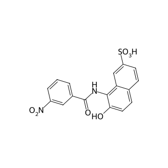 O=C(Nc1c(O)ccc2ccc(S(=O)(=O)O)cc12)c1cccc([N+](=O)[O-])c1